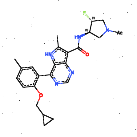 CC(=O)N1C[C@@H](F)[C@H](NC(=O)c2c(C)[nH]c3c(-c4cc(C)ccc4OCC4CC4)ncnc23)C1